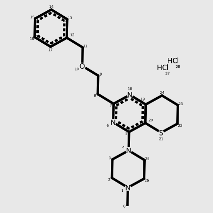 CN1CCN(c2nc(CCOCc3ccccc3)nc3c2SCCC3)CC1.Cl.Cl